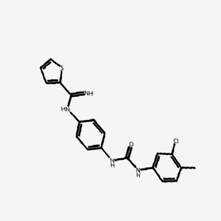 Cc1ccc(NC(=O)Nc2ccc(NC(=N)c3cccs3)cc2)cc1Cl